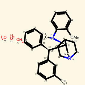 COc1ccccc1N(C)[C@]1([C@H](c2ccccc2)c2cccc(C(F)(F)F)c2)CN2CCC1CC2.O.O.O